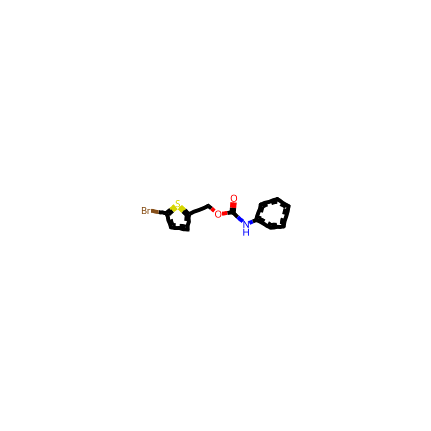 O=C(Nc1ccccc1)OCc1ccc(Br)s1